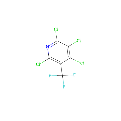 FC(F)(F)c1c(Cl)nc(Cl)c(Cl)c1Cl